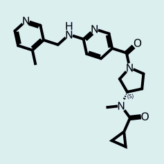 Cc1ccncc1CNc1ccc(C(=O)N2CC[C@H](N(C)C(=O)C3CC3)C2)cn1